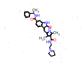 Cc1[nH]c(/C=C2\C(=O)Nc3cc(C(=O)N[C@H](C)c4ccccc4)ccc32)c(C)c1C(=O)NCCN1CCCC1